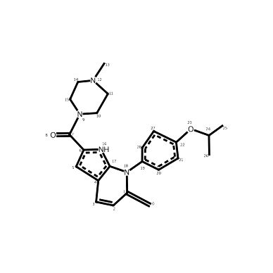 C=C1C=Cc2cc(C(=O)N3CCN(C)CC3)[nH]c2N1c1ccc(OC(C)C)cc1